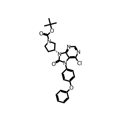 CC(C)(C)OC(=O)N1CC[C@@H](n2c(=O)n(-c3ccc(Oc4ccccc4)cc3)c3c(Cl)ncnc32)C1